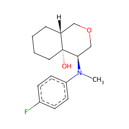 CN(c1ccc(F)cc1)[C@@H]1COC[C@H]2CCCC[C@@]21O